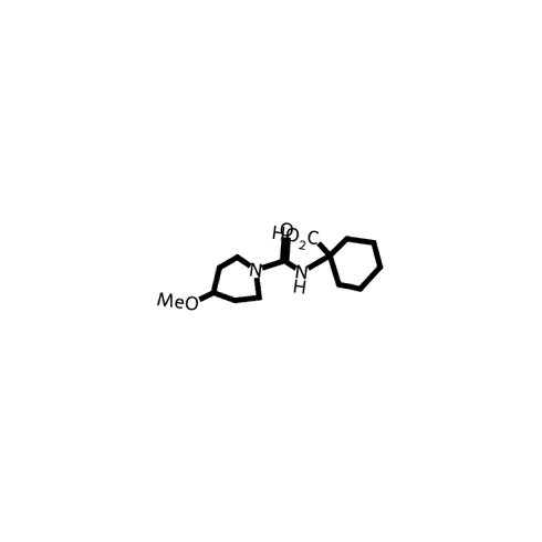 COC1CCN(C(=O)NC2(C(=O)O)CCCCC2)CC1